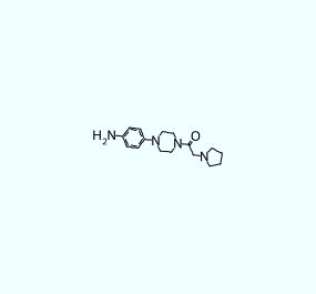 Nc1ccc(N2CCN(C(=O)CN3CCCC3)CC2)cc1